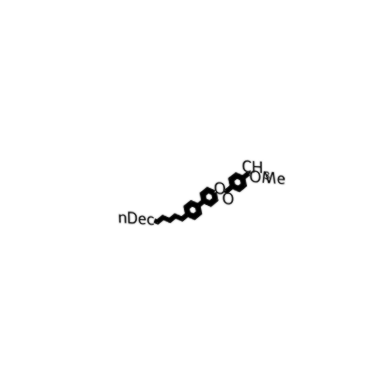 CCCCCCCCCCCCCCCc1ccc(-c2ccc(OC(=O)c3ccc(C(C)OC)cc3)cc2)cc1